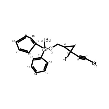 CC(C)(C)[Si](OCC1CC1(F)C#CBr)(c1ccccc1)c1ccccc1